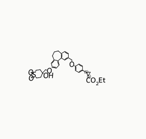 CCOC(=O)[C@H]1C[C@@H]1c1ccc(OCc2ccc3c(c2)-c2ccc(OCC4(O)CCS(=O)(=O)CC4)cc2CCC3)cc1